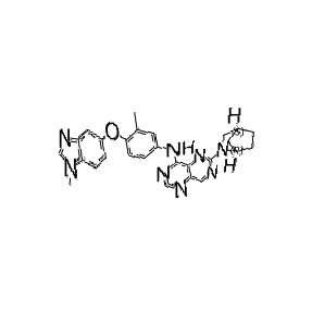 Cc1cc(Nc2ncnc3cnc(N4C[C@H]5CC[C@@H]4C5)nc23)ccc1Oc1ccc2c(c1)ncn2C